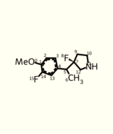 COc1ccc(C(C)[C@]2(F)CCNC2)cc1F